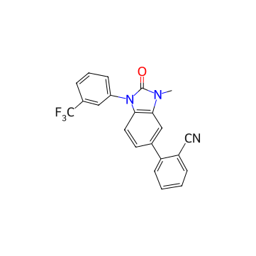 Cn1c(=O)n(-c2cccc(C(F)(F)F)c2)c2ccc(-c3ccccc3C#N)cc21